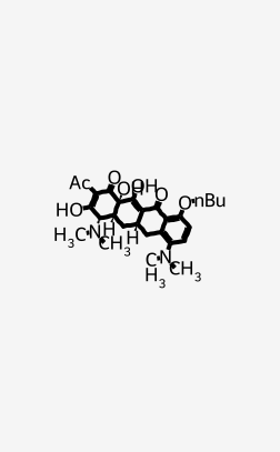 CCCCOc1ccc(N(C)C)c2c1C(=O)C1=C(O)[C@]3(O)C(=O)C(C(C)=O)=C(O)[C@@H](N(C)C)[C@@H]3C[C@@H]1C2